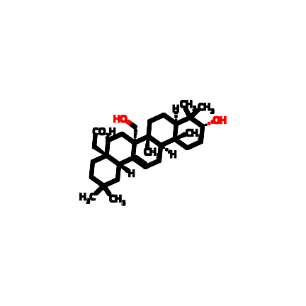 CC1(C)CC[C@]2(CC(=O)O)CC[C@]3(CO)C(=CC[C@@H]4[C@@]5(C)CC[C@@H](O)C(C)(C)[C@@H]5CC[C@]43C)[C@@H]2C1